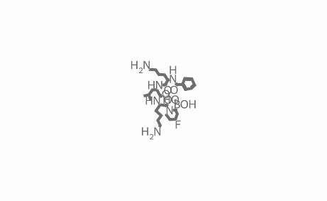 CC(C)CC(NC(=O)C(CCCCN)NC(=O)c1ccccc1)C(=O)NC(CCCCN)C(=O)N1CCC(F)CC1B(O)O